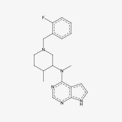 CC1CCN(Cc2ccccc2F)CC1N(C)c1ncnc2[nH]ccc12